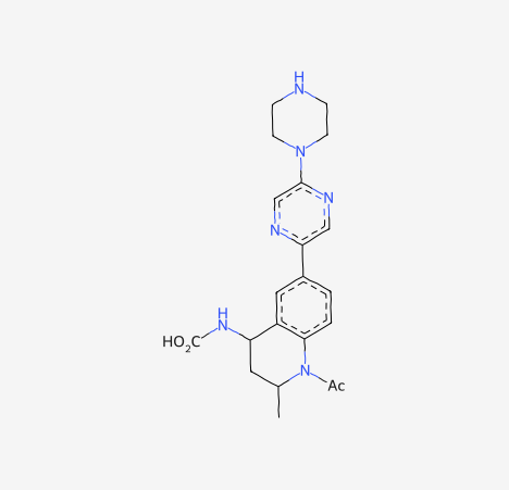 CC(=O)N1c2ccc(-c3cnc(N4CCNCC4)cn3)cc2C(NC(=O)O)CC1C